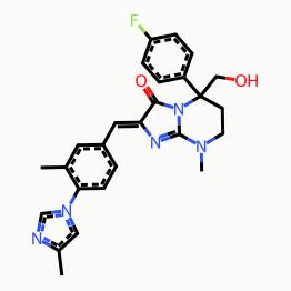 Cc1cn(-c2ccc(/C=C3\N=C4N(C)CCC(CO)(c5ccc(F)cc5)N4C3=O)cc2C)cn1